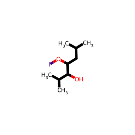 CC(C)CC(OI)C(O)C(C)C